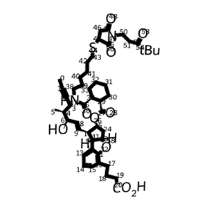 CC#CC[C@H](C)[C@H](O)/C=C/[C@@H]1[C@H]2c3cccc(CCCC(=O)O)c3O[C@H]2C[C@H]1OC(=O)[C@@H]1CCCC[C@@H]1C(=O)NCCCCCCSC1CC(=O)N(CCC(=O)C(C)(C)C)C1=O